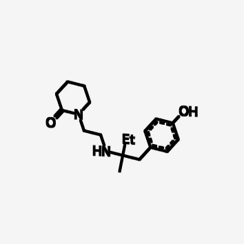 CCC(C)(Cc1ccc(O)cc1)NCCN1CCCCC1=O